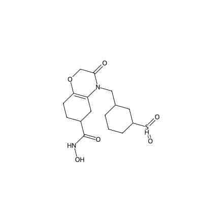 O=C(NO)C1CCC2=C(C1)N(CC1CCCC([SH](=O)=O)C1)C(=O)CO2